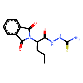 CCCC(C(=O)NNC(N)=S)N1C(=O)c2ccccc2C1=O